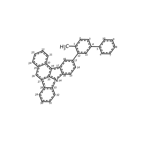 Cc1ccc(-c2ccccc2)cc1-c1ccc2c(c1)c1c3ccccc3cc3c4ccccc4n2c31